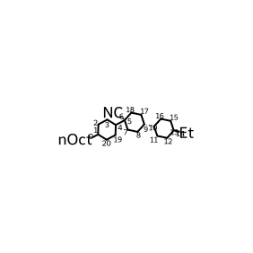 CCCCCCCCC1CCC([C@]2(C#N)CC[C@@H](C3CCC(CC)CC3)CC2)CC1